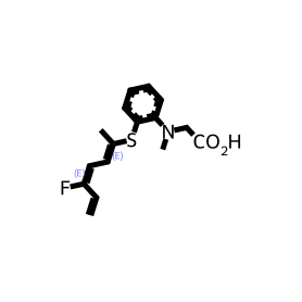 C=C/C(F)=C\C=C(/C)Sc1ccccc1N(C)CC(=O)O